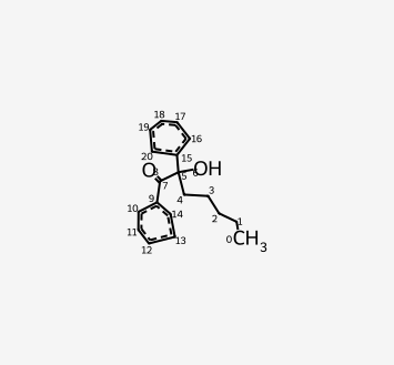 CCCCCC(O)(C(=O)c1ccccc1)c1ccccc1